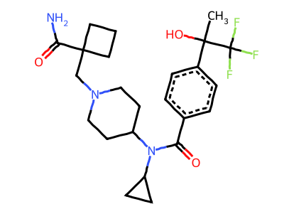 CC(O)(c1ccc(C(=O)N(C2CC2)C2CCN(CC3(C(N)=O)CCC3)CC2)cc1)C(F)(F)F